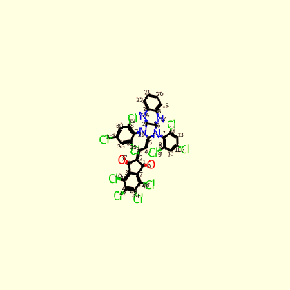 O=C1C(=CC=C2N(c3c(Cl)cc(Cl)cc3Cl)c3nc4ccccc4nc3N2c2c(Cl)cc(Cl)cc2Cl)C(=O)c2c(Cl)c(Cl)c(Cl)c(Cl)c21